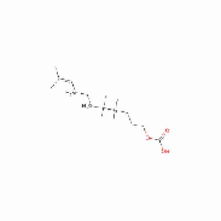 CC(C)=C[SiH2]C[SiH2]C(C)(C)[Si](C)(C)CCCOC(=O)O